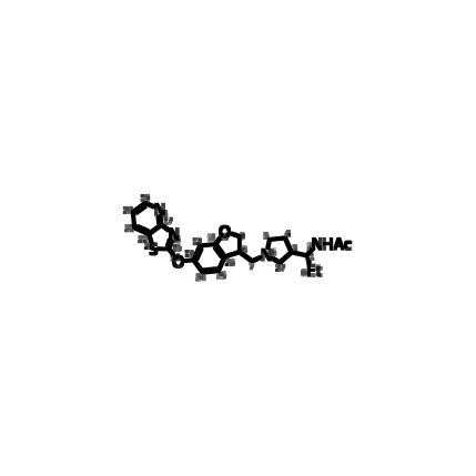 CC[C@H](NC(C)=O)C1CCN(CC2COc3cc(Oc4nc5ncccc5s4)ccc32)C1